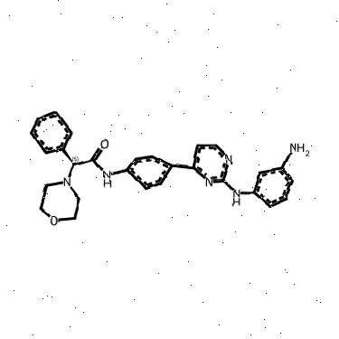 Nc1cccc(Nc2nccc(-c3ccc(NC(=O)[C@H](c4ccccc4)N4CCOCC4)cc3)n2)c1